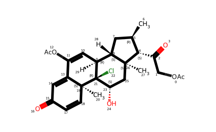 CC(=O)OCC(=O)[C@H]1[C@H](C)C[C@H]2[C@@H]3C=C(OC(C)=O)C4=CC(=O)C=C[C@]4(C)[C@@]3(Cl)[C@@H](O)C[C@@]21C